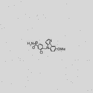 COc1ccc2c(c1)c1ncccc1n2Cc1ccc(S(N)(=O)=O)cc1Cl